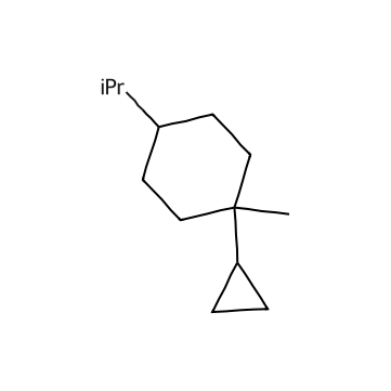 CC(C)C1CCC(C)(C2CC2)CC1